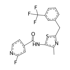 Cc1nc(Cc2cccc(C(F)(F)F)c2)sc1NC(=O)c1ccnc(F)c1